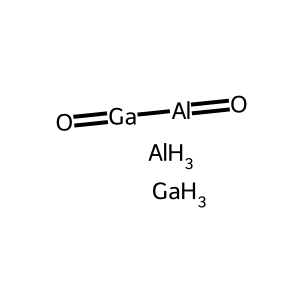 [AlH3].[GaH3].[O]=[Al][Ga]=[O]